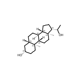 CC(O)[C@H]1CC[C@H]2[C@@H]3CC[C@H]4C[C@@H](O)CC[C@]4(C)[C@H]3CC[C@]12C